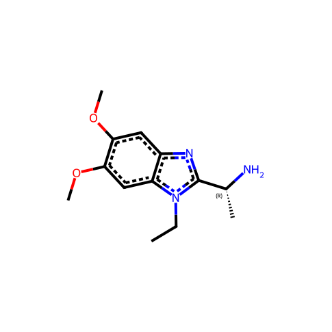 CCn1c([C@@H](C)N)nc2cc(OC)c(OC)cc21